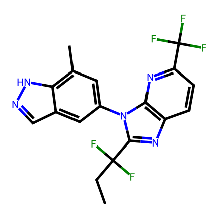 CCC(F)(F)c1nc2ccc(C(F)(F)F)nc2n1-c1cc(C)c2[nH]ncc2c1